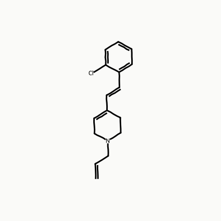 C=CCN1CC=C(/C=C/c2ccccc2Cl)CC1